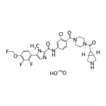 Cn1c(-c2ccc(OCF)c(F)c2F)cnc1C(=O)Nc1ccc(C(=O)N2CCN(C(=O)C3[C@H]4CNC[C@@H]34)CC2)c(Cl)c1.O=CO